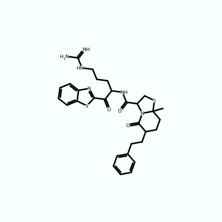 CC12CCC(CCc3ccccc3)C(=O)N1C(C(=O)NC(CCCNC(=N)N)C(=O)c1nc3ccccc3s1)CS2